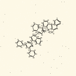 CC1(C)c2ccc3ccccc3c2-c2cccc(-c3ccc(-c4ccc(-c5nc(-c6ccccc6)cc(-c6ccccc6)n5)c5ccccc45)c4ccccc34)c21